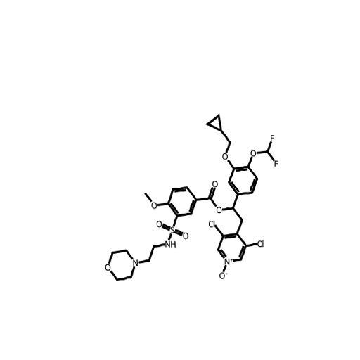 COc1ccc(C(=O)OC(Cc2c(Cl)c[n+]([O-])cc2Cl)c2ccc(OC(F)F)c(OCC3CC3)c2)cc1S(=O)(=O)NCCN1CCOCC1